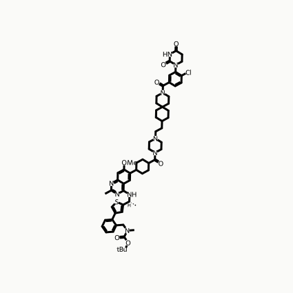 COc1cc2nc(C)nc(N[C@H](C)c3cc(-c4ccccc4CN(C)C(=O)OC(C)(C)C)cs3)c2cc1C1CCC(C(=O)N2CCN(CCC3CCC4(CC3)CCN(C(=O)c3ccc(Cl)c(N5CCC(=O)NC5=O)c3)CC4)CC2)CC1